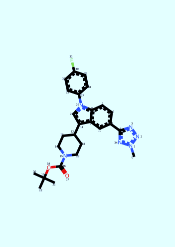 Cn1nnc(-c2ccc3c(c2)c(C2CCN(C(=O)OC(C)(C)C)CC2)cn3-c2ccc(F)cc2)n1